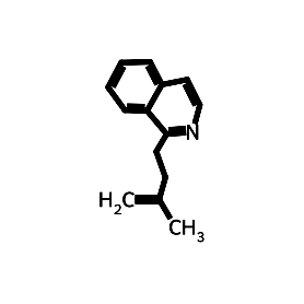 C=C(C)CCc1nccc2ccccc12